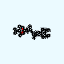 C=CC(=O)Oc1ccc(C(C)(C)c2ccc(OC(=O)C=C)c(-n3c(=O)c4cc5c(=O)n(-c6c(-n7c8ccccc8c8ccccc87)cc(-n7c8ccccc8c8ccccc87)cc6-n6c7ccccc7c7ccccc76)c(=O)c5cc4c3=O)c2)cc1N1C(=O)c2ccc3c4c(ccc(c24)C1=O)C(=O)N(c1cc(C2C(c4ccccc4)=Nc4ccccc42)cc(C2C(c4ccccc4)=Nc4ccccc42)c1)C3=O